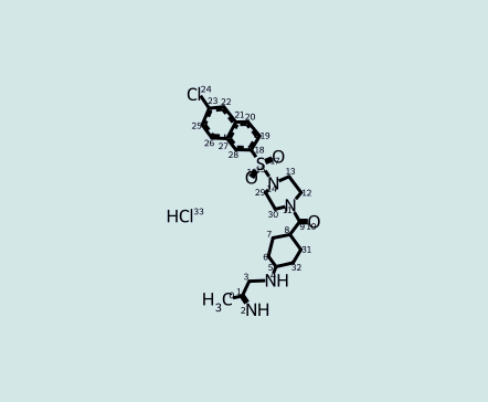 CC(=N)CNC1CCC(C(=O)N2CCN(S(=O)(=O)c3ccc4cc(Cl)ccc4c3)CC2)CC1.Cl